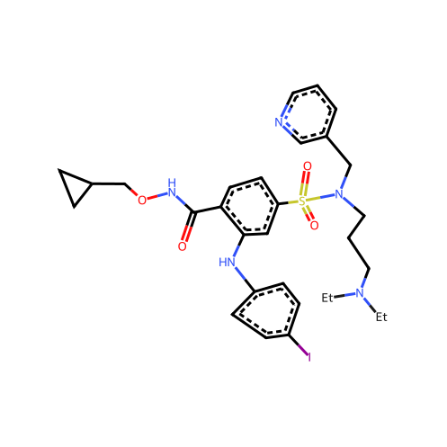 CCN(CC)CCCN(Cc1cccnc1)S(=O)(=O)c1ccc(C(=O)NOCC2CC2)c(Nc2ccc(I)cc2)c1